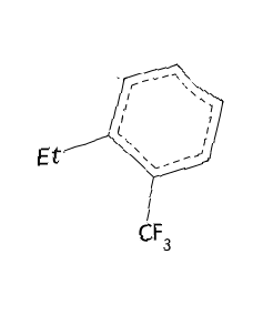 CCc1[c]cccc1C(F)(F)F